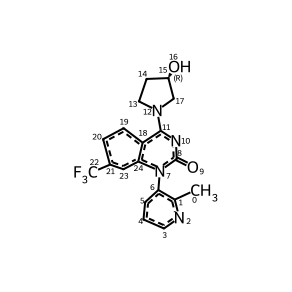 Cc1ncccc1-n1c(=O)nc(N2CC[C@@H](O)C2)c2ccc(C(F)(F)F)cc21